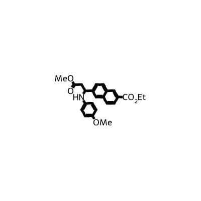 CCOC(=O)c1ccc2cc(C(CC(=O)OC)Nc3ccc(OC)cc3)ccc2c1